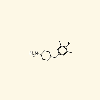 Cc1cc(CC2CCC(N)CC2)cc(C)c1F